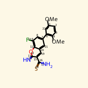 COc1ccc(OC)c(-c2cc(F)c3oc(=N)c(C(N)=S)cc3c2)c1